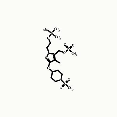 CC(C)(C)[Si](C)(C)OCCn1nc(OC2CCN(S(C)(=O)=O)CC2)c(I)c1COS(C)(=O)=O